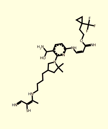 C/C(NCCCCC1CN(c2nc(N/C=C\C(=N)OCCC3(C(F)(F)F)CC3)ccc2C(N)O)C(C)(C)C1)=C(\S)C=N